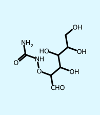 NC(=O)NOC(C=O)C(O)C(O)C(O)CO